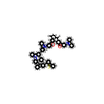 C=C(/C=C\C=C(/C)c1ccc2oc3ccc(-n4c5ccccc5c5ccccc54)cc3c2c1)c1ccc2oc3ccc(-n4c5ccccc5c5cc(-c6ccc7c(c6)c6ccccc6n7-c6cccc([Si](c7ccccc7)(c7ccccc7)c7cccc(-c8cccc9c8sc8ccccc89)c7)c6)ccc54)cc3c2c1